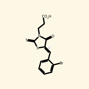 O=C(O)CCN1C(=O)/C(=C/c2ccccc2Br)SC1=S